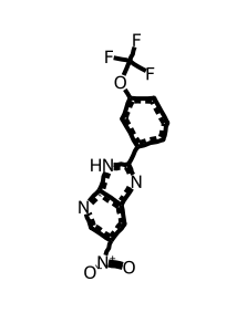 O=[N+]([O-])c1cnc2[nH]c(-c3cccc(OC(F)(F)F)c3)nc2c1